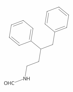 O=CNCCC(Cc1ccccc1)c1ccccc1